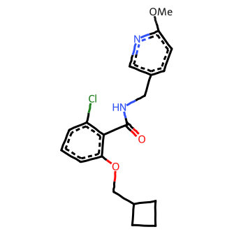 COc1ccc(CNC(=O)c2c(Cl)cccc2OCC2CCC2)cn1